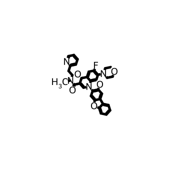 CN(CCc1ccccn1)C(=O)c1cn2c3c(c(N4CCOCC4)c(F)cc3c1=O)Oc1cc3c(cc1-2)oc1ccccc13